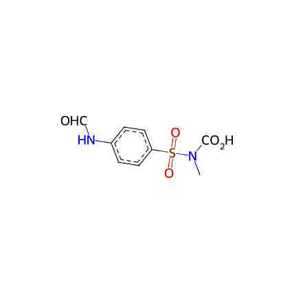 CN(C(=O)O)S(=O)(=O)c1ccc(NC=O)cc1